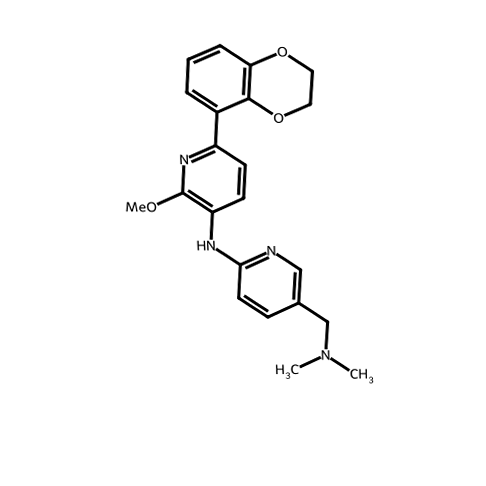 COc1nc(-c2cccc3c2OCCO3)ccc1Nc1ccc(CN(C)C)cn1